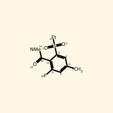 CCS(=O)(=O)c1cc(C)cc(F)c1C(=O)NC